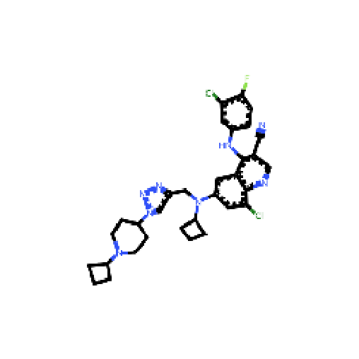 N#Cc1cnc2c(Cl)cc(N(Cc3cn(C4CCN(C5CCC5)CC4)nn3)C3CCC3)cc2c1Nc1ccc(F)c(Cl)c1